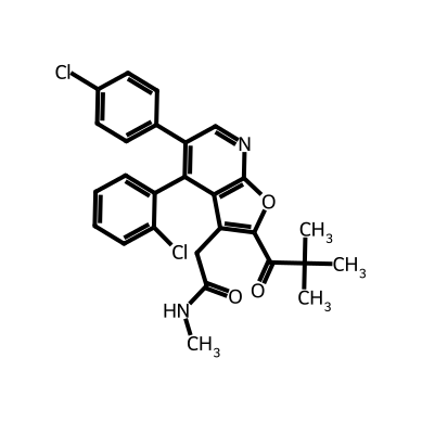 CNC(=O)Cc1c(C(=O)C(C)(C)C)oc2ncc(-c3ccc(Cl)cc3)c(-c3ccccc3Cl)c12